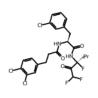 CC(C)[C@@](F)(NC(=O)[C@H](Cc1cccc(Cl)c1)NC(=O)CCc1ccc(Cl)c(Cl)c1)C(=O)C(F)F